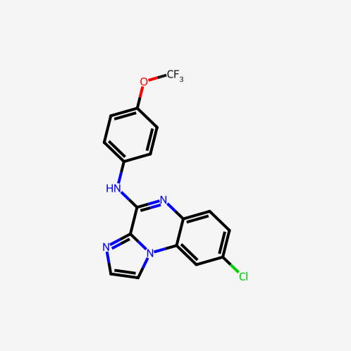 FC(F)(F)Oc1ccc(Nc2nc3ccc(Cl)cc3n3ccnc23)cc1